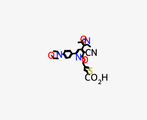 Cc1noc(C)c1-c1cc(-c2ccc(N3CCOCC3)cc2)nc(OCc2csc(C(=O)O)c2)c1C#N